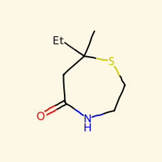 CCC1(C)CC(=O)NCCS1